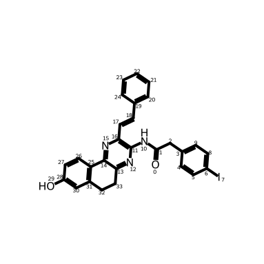 O=C(Cc1ccc(I)cc1)Nc1nc2c(nc1/C=C/c1ccccc1)-c1ccc(O)cc1CC2